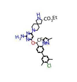 CCOC(=O)[C@@H]1CC2(CCN(c3cc(O[C@H](c4ccc(-c5cc(C)c(Cl)c(C)c5)cc4-n4ccc(C)n4)C(F)(F)F)nc(N)n3)CC2)CN1